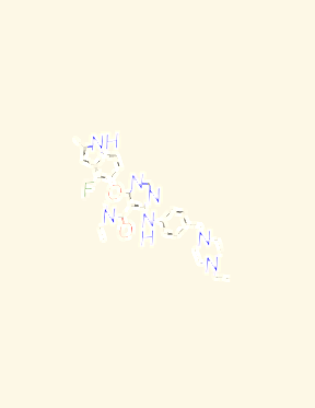 CCN1CCN(Cc2ccc(Nc3ncnc(Oc4ccc5[nH]c(C)cc5c4F)c3C(=O)N(C)CC)cc2)CC1